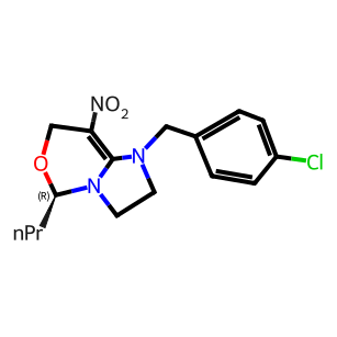 CCC[C@H]1OCC([N+](=O)[O-])=C2N(Cc3ccc(Cl)cc3)CCN21